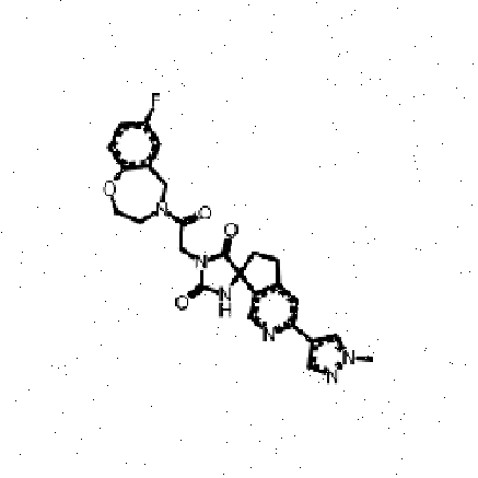 Cn1cc(-c2cc3c(cn2)C2(CC3)NC(=O)N(CC(=O)N3CCOc4ccc(F)cc4C3)C2=O)cn1